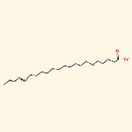 CCCC=CCCCCCCCCCCCCCCCCC(=O)O